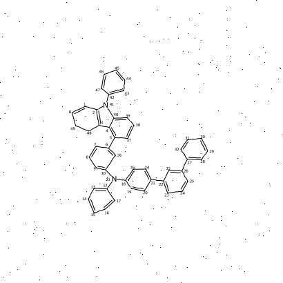 C1=Cc2c(c3c(-c4cccc(N(c5ccccc5)c5ccc(-c6cccc(-c7ccccc7)c6)cc5)c4)cccc3n2-c2ccccc2)CC1